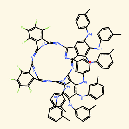 Cc1cccc(Nc2cc3c(c(Nc4cccc(C)c4)c2Nc2cccc(C)c2)-c2nc-3nc3[nH]c(nc4nc(nc5c6c(Nc7cccc(C)c7)c(Nc7cccc(C)c7)c(Nc7cccc(C)c7)c(Nc7cccc(C)c7)c6c(n2)n5Nc2cccc(C)c2)-c2c(F)c(F)c(F)c(F)c2-4)c2c(F)c(F)c(F)c(F)c32)c1